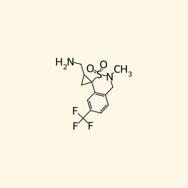 CN1Cc2ccc(C(F)(F)F)cc2C2(CC2CN)S1(=O)=O